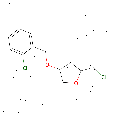 ClCC1CC(OCc2ccccc2Cl)CO1